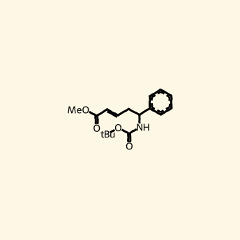 COC(=O)C=CCC(NC(=O)OC(C)(C)C)c1ccccc1